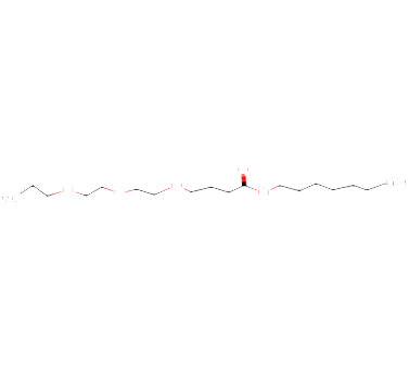 CCCCCCCCCCCCCCCCOC(=O)CCCOCCOCCOCCCCCCCCCCCC